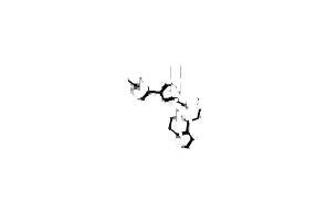 CCC1c2ccsc2CCN1C(=O)c1cc(-c2csc(C)n2)c[nH]1